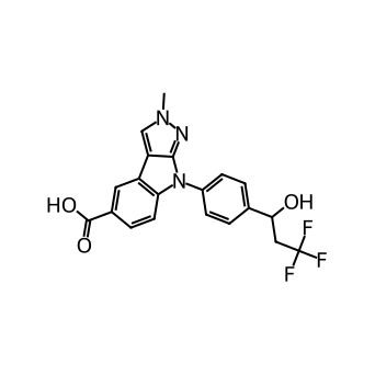 Cn1cc2c3cc(C(=O)O)ccc3n(-c3ccc(C(O)CC(F)(F)F)cc3)c2n1